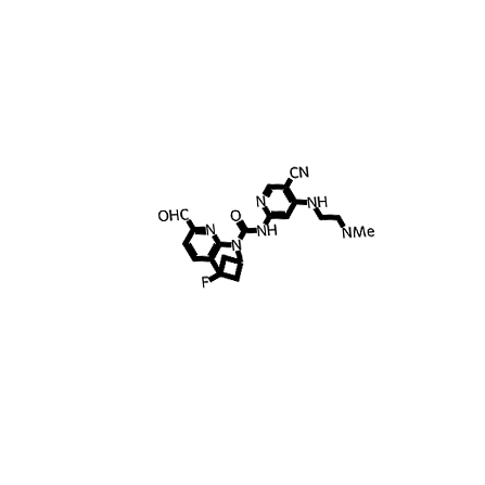 CNCCNc1cc(NC(=O)N2c3nc(C=O)ccc3C3(F)CC2C3)ncc1C#N